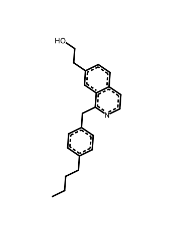 CCCCc1ccc(Cc2nccc3ccc(CCO)cc23)cc1